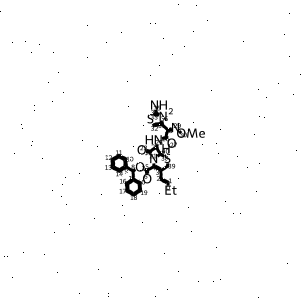 CC/C=C/C1=C(C(=O)OC(c2ccccc2)c2ccccc2)N2C(=O)C(NC(=O)/C(=N\OC)c3csc(N)n3)[C@@H]2SC1